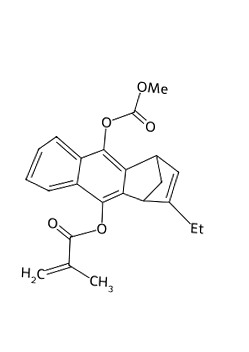 C=C(C)C(=O)Oc1c2c(c(OC(=O)OC)c3ccccc13)C1C=C(CC)C2C1